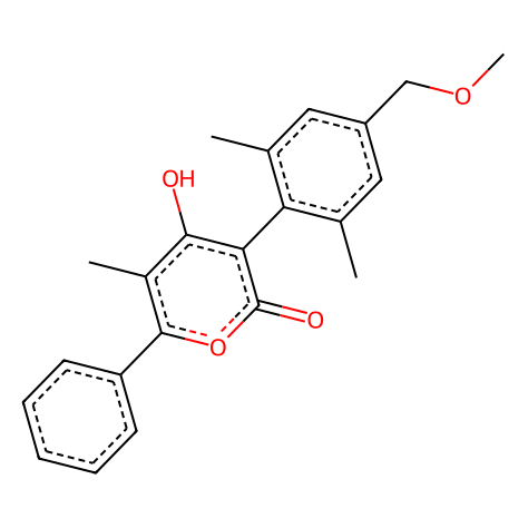 COCc1cc(C)c(-c2c(O)c(C)c(-c3ccccc3)oc2=O)c(C)c1